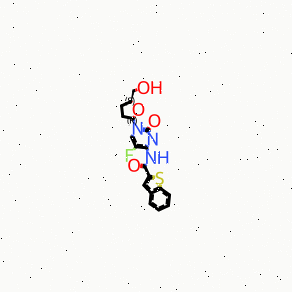 O=C(Nc1nc(=O)n([C@H]2CC[C@@H](CO)O2)cc1F)c1cc2ccccc2s1